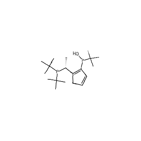 C[C@H](C1=C(P(O)C(C)(C)C)C=CC1)P(C(C)(C)C)C(C)(C)C